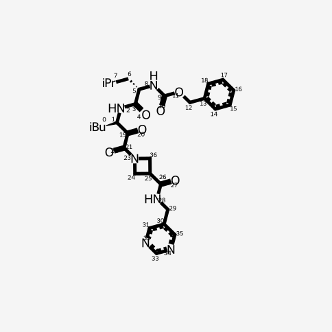 CC[C@H](C)C(NC(=O)[C@H](CC(C)C)NC(=O)OCc1ccccc1)C(=O)C(=O)N1CC(C(=O)NCc2cncnc2)C1